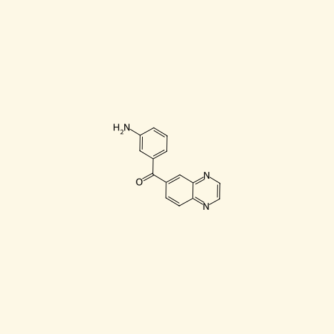 Nc1cccc(C(=O)c2ccc3nccnc3c2)c1